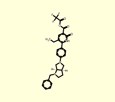 CCc1cc(C(=O)OC(=O)C(F)(F)F)c(=O)[nH]c1-c1ccc(N2C[C@H]3CCN(Cc4ccccc4)[C@H]3C2)cc1